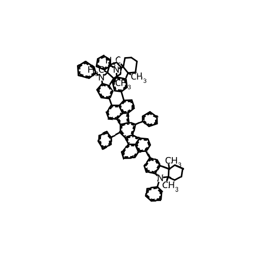 CC12CCCCC1(C)N(c1ccccc1)c1ccc(-c3ccc4c5c(-c6ccccc6)c6c7ccc(-c8ccc9c(c8)C8(C)CCCCC8(C)N9c8ccccc8)c8c(-c9ccc%10c(c9)C9(C)CCCCC9(C)N%10c9ccccc9)ccc(c6c(-c6ccccc6)c5c5cccc3c54)c87)cc12